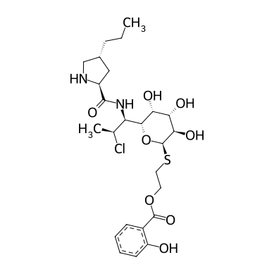 CCC[C@H]1CN[C@H](C(=O)N[C@@H]([C@H]2O[C@H](SCCOC(=O)c3ccccc3O)[C@H](O)[C@@H](O)[C@H]2O)[C@H](C)Cl)C1